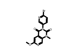 COc1cc2c(=O)n(-c3ccc(Br)nc3)c(=O)n(C)c2cn1